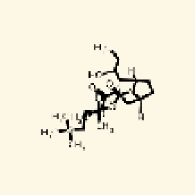 CC[C@H](O)[C@@H]1[C@@H]2CC[C@H](CN1C(=O)OCC[Si](C)(C)C)N2C(=O)OC(C)(C)C